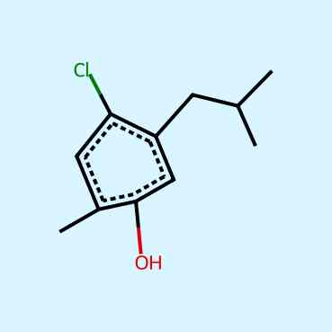 Cc1cc(Cl)c(CC(C)C)cc1O